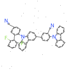 N#Cc1ccc(-n2c3ccccc3c3cc(-c4ccc(-n5c6ccccc6c6ccccc65)c(C#N)c4)ccc32)c(-c2c(F)cccc2F)c1